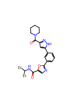 CCC(CC)NC(=O)c1cnc(-c2cccc(-c3cc(C(=O)N4CCCCC4)n[nH]3)c2)o1